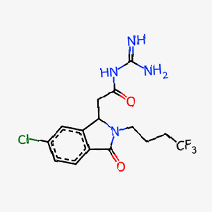 N=C(N)NC(=O)CC1c2cc(Cl)ccc2C(=O)N1CCCC(F)(F)F